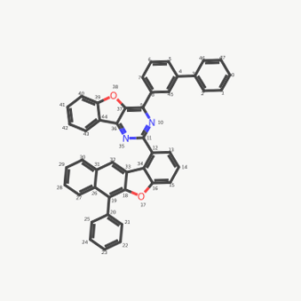 c1ccc(-c2cccc(-c3nc(-c4cccc5oc6c(-c7ccccc7)c7ccccc7cc6c45)nc4c3oc3ccccc34)c2)cc1